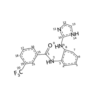 O=C(Nc1ccccc1Nc1ncc[nH]1)c1cccc(C(F)(F)F)c1